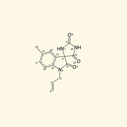 C=CCN1C(=O)C2(NC(=O)NC2=O)c2cc(C)ccc21